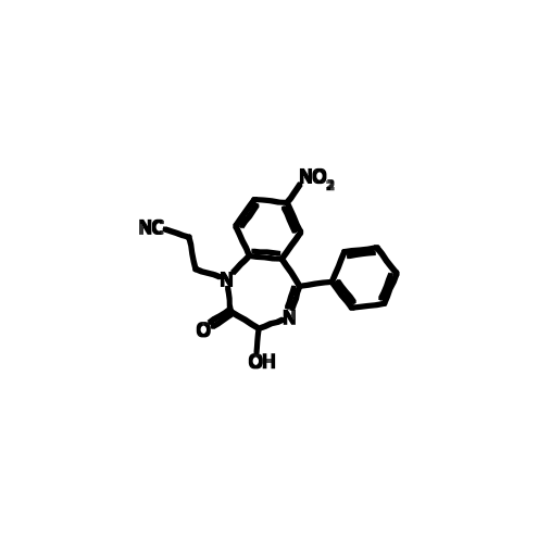 N#CCCN1C(=O)C(O)N=C(c2ccccc2)c2cc([N+](=O)[O-])ccc21